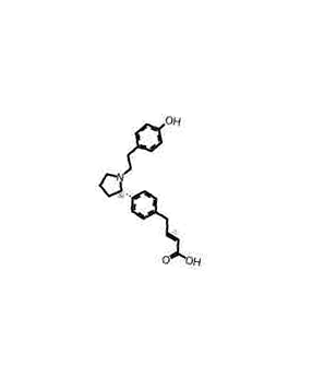 O=C(O)/C=C/Cc1ccc([C@@H]2CCCN2CCc2ccc(O)cc2)cc1